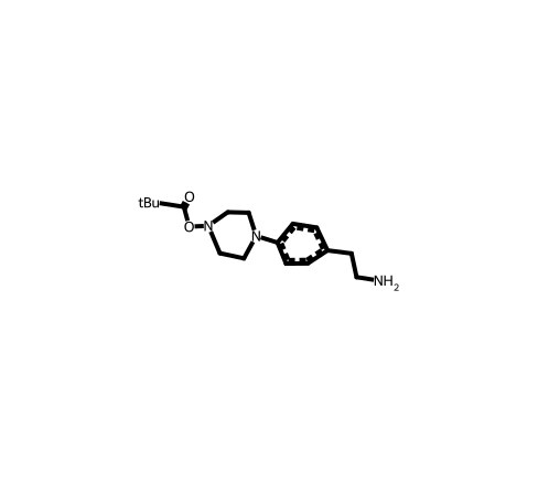 CC(C)(C)C(=O)ON1CCN(c2ccc(CCN)cc2)CC1